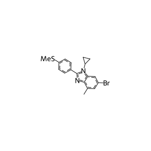 CSc1ccc(-c2nc3c(C)cc(Br)cc3n2C2CC2)cc1